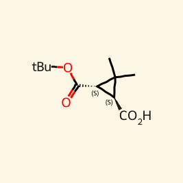 CC(C)(C)OC(=O)[C@H]1[C@H](C(=O)O)C1(C)C